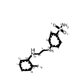 NS(=O)(=O)c1ccc(NCCNc2ccccc2F)cc1